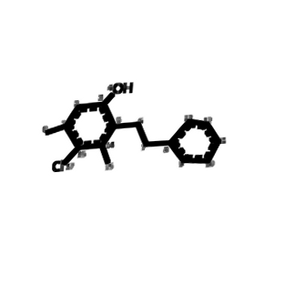 Cc1cc(O)c(CCc2ccccc2)c(C)c1Cl